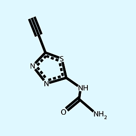 C#Cc1nnc(NC(N)=O)s1